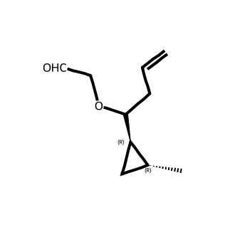 C=CCC(OCC=O)[C@@H]1C[C@H]1C